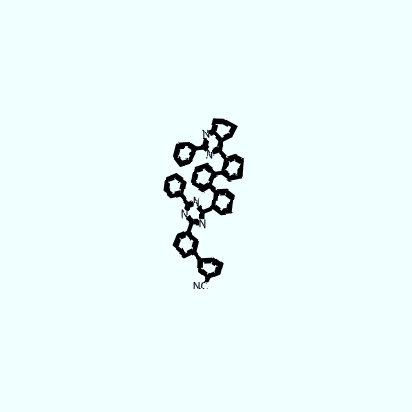 N#Cc1cccc(-c2cccc(-c3nc(-c4ccccc4)nc(-c4ccccc4-c4ccccc4-c4ccccc4-c4nc(-c5ccccc5)nc5ccccc45)n3)c2)c1